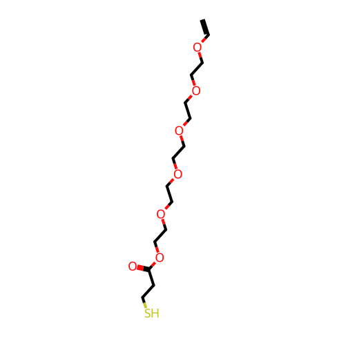 C=COCCOCCOCCOCCOCCOC(=O)CCS